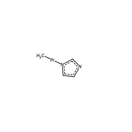 [CH3][Pr][n]1ccnc1